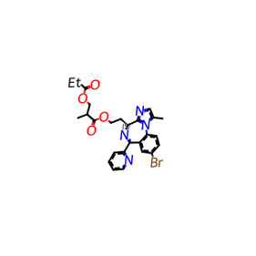 CCC(=O)OCC(C)C(=O)OCC[C@@H]1N=C(c2ccccn2)c2cc(Br)ccc2-n2c(C)cnc21